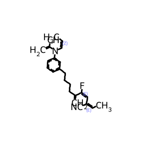 C=C(CCCCc1cccc(N(/C=C\C)C(=C)C)c1)/C(F)=C\C(C#N)=C/C